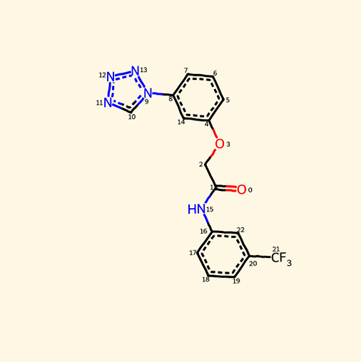 O=C(COc1cccc(-n2cnnn2)c1)Nc1cccc(C(F)(F)F)c1